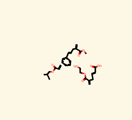 C=C(CC=CC(=O)O)C(=O)OCCO.C=C(CC=Cc1ccccc1)C(=O)OC.C=CC(=O)OCC(C)C